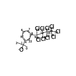 CC(C)([O])c1cccc(C(Cl)(Cl)C(Cl)(Cl)C(Cl)(Cl)C(Cl)(Cl)Cl)c1